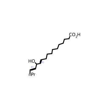 CCC/C=C/C(O)/C=C/CCCCCCCCCC(=O)O